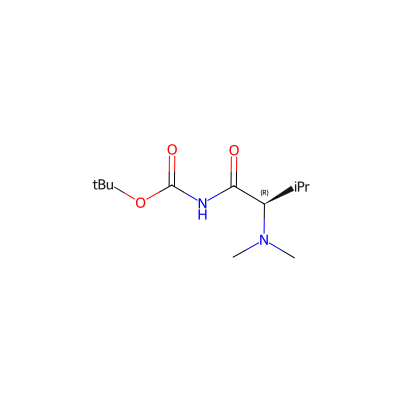 CC(C)[C@H](C(=O)NC(=O)OC(C)(C)C)N(C)C